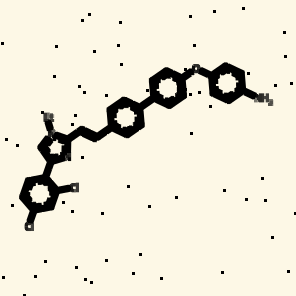 CCn1cc(-c2ccc(Cl)cc2Cl)nc1C=Cc1ccc(-c2ccc(Oc3ccc(N)cc3)cc2)cc1